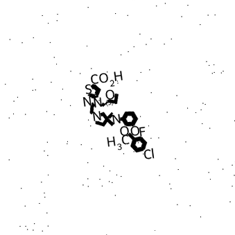 CC1(c2ccc(Cl)cc2F)Oc2cccc(N3CC4(CCN(Cc5nc6sc(C(=O)O)cc6n5C[C@@H]5CCO5)C4)C3)c2O1